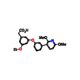 CCOc1cc(CC(=O)O)cc(Oc2cccc(-c3ccc(OC)nc3OC)c2)c1